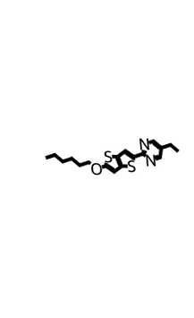 CCCCCCOc1cc2sc(-c3ncc(CC)cn3)cc2s1